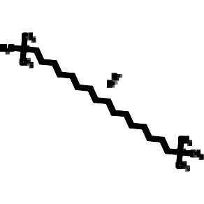 C[N+](C)(C)CCCCCCCCCCCCCCCC[N+](C)(C)C.[Br-].[Br-]